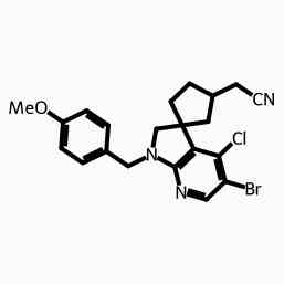 COc1ccc(CN2CC3(CCC(CC#N)C3)c3c2ncc(Br)c3Cl)cc1